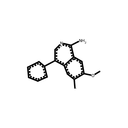 [CH2]c1cc2c(-c3ccccc3)cnc(N)c2cc1OC